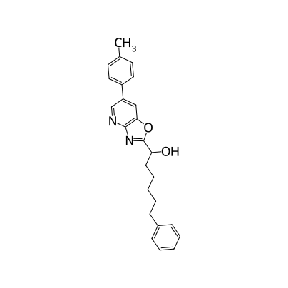 Cc1ccc(-c2cnc3nc(C(O)CCCCCc4ccccc4)oc3c2)cc1